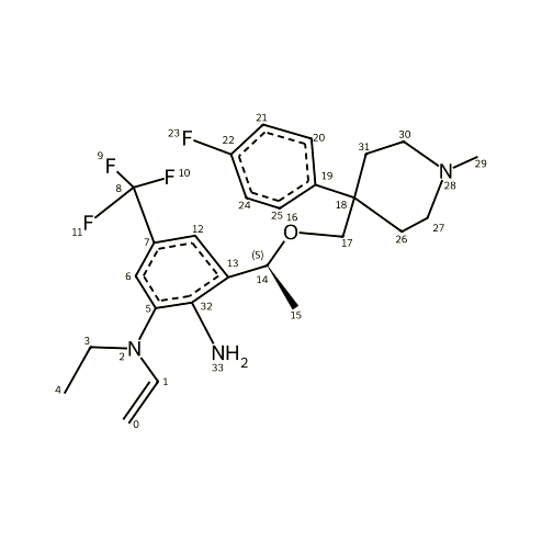 C=CN(CC)c1cc(C(F)(F)F)cc([C@H](C)OCC2(c3ccc(F)cc3)CCN(C)CC2)c1N